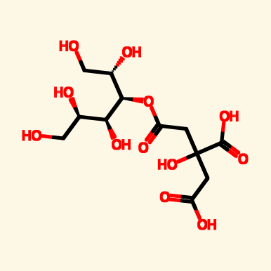 O=C(O)CC(O)(CC(=O)O[C@@H]([C@@H](O)[C@H](O)CO)[C@@H](O)CO)C(=O)O